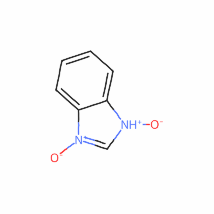 [O-][N+]1=C[NH+]([O-])c2ccccc21